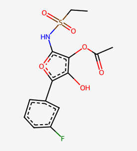 CCS(=O)(=O)Nc1oc(-c2cccc(F)c2)c(O)c1OC(C)=O